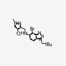 Cn1cc(Cl)c(CNc2ccc3c(nnn3CC(C)(C)C)c2Br)n1